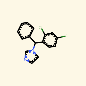 Clc1ccc(C(c2ccccc2)n2ccnc2)c(Cl)c1